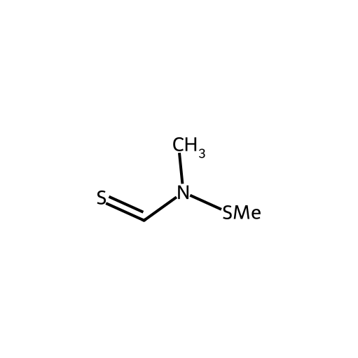 CSN(C)C=S